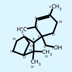 CC1=CC(C)C(CO)(C2C3CCC(C3)C2(C)C)CC1